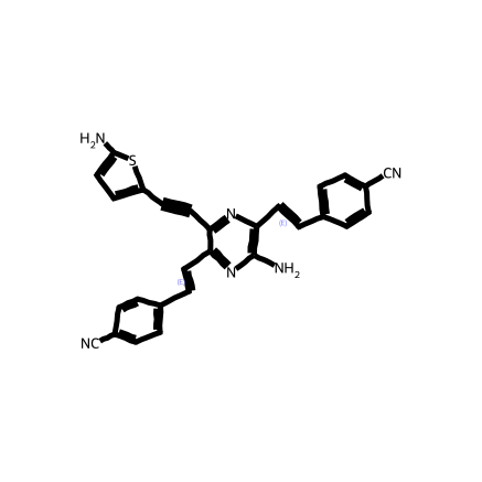 N#Cc1ccc(/C=C/c2nc(C#Cc3ccc(N)s3)c(/C=C/c3ccc(C#N)cc3)nc2N)cc1